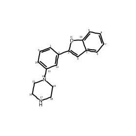 c1cc(-c2cc3ccccc3o2)cc(N2CCNCC2)c1